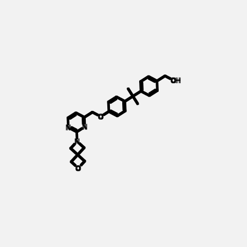 CC(C)(c1ccc(CO)cc1)c1ccc(OCc2ccnc(N3CC4(COC4)C3)n2)cc1